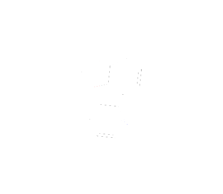 c1ccc2c(c1)OCO2.c1ccncc1